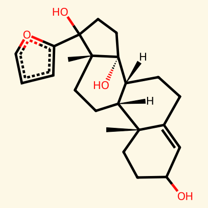 C[C@]12CCC(O)C=C1CC[C@@H]1[C@H]2CC[C@]2(C)C(O)(c3ccco3)CC[C@@]12O